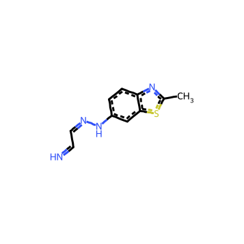 Cc1nc2ccc(N/N=C\C=N)cc2s1